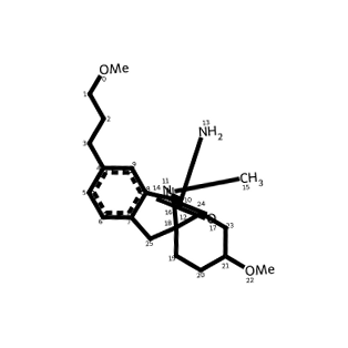 COCCCc1ccc2c(c1)C1(N=C(N)N(C)C1=O)C1(CCC(OC)CC1)C2